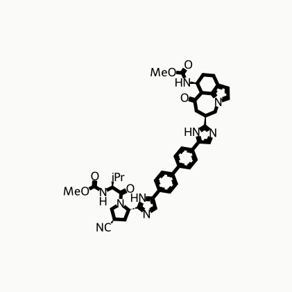 COC(=O)N[C@H]1CCc2ccn3c2C1C(=O)C[C@H](c1ncc(-c2ccc(-c4ccc(-c5cnc([C@@H]6C[C@H](C#N)CN6C(=O)[C@@H](NC(=O)OC)C(C)C)[nH]5)cc4)cc2)[nH]1)C3